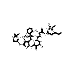 C=C1C(C[C@@H]2O[C@H](C[C@H]3COC(C)(C)O3)[C@H](OC)[C@H]2CS(=O)(=O)c2ccccc2)O[C@@H](CC[C@H](O)C(=C)C[C@@H](CCCC)OS(C)(=O)=O)C[C@H]1C